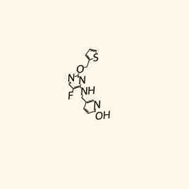 Oc1ccc(CNc2nc(OCc3cccs3)ncc2F)cn1